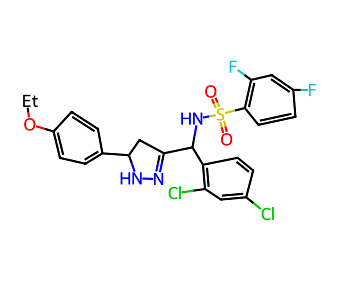 CCOc1ccc(C2CC(C(NS(=O)(=O)c3ccc(F)cc3F)c3ccc(Cl)cc3Cl)=NN2)cc1